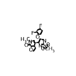 Cn1cc(-c2nc(S(C)(=O)=O)ncc2Oc2ccc(F)cc2F)c2ccoc2c1=O